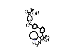 NC1NNC(c2cccc(-c3ccc(C(=O)N4CCN(C(=O)C5(O)CC5)CC4)cc3)c2)C1C1/C=C\CCCCCC1